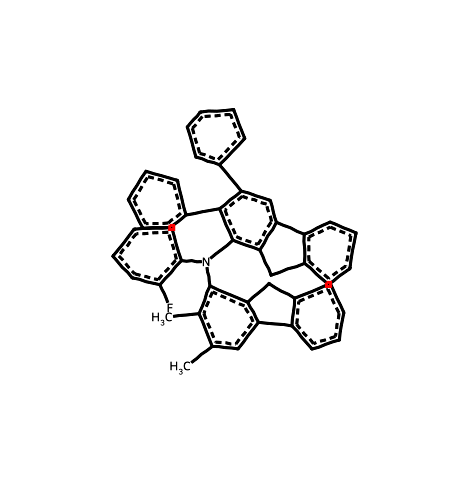 Cc1cc2c(c(N(c3ccccc3F)c3c4c(cc(-c5ccccc5)c3-c3ccccc3)-c3ccccc3C4)c1C)Cc1ccccc1-2